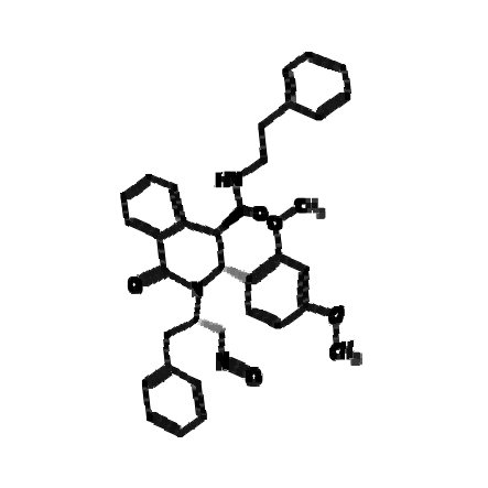 COc1ccc([C@H]2[C@H](C(=O)NCCc3ccccc3)c3ccccc3C(=O)N2[C@H](CN=O)Cc2ccccc2)c(OC)c1